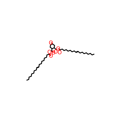 CCCCCCCCC=CCCCCCCCC(=O)OC(=O)C1CC2OC2CC1C(=O)OC(=O)CCCCCCCC=CCCCCCCCC